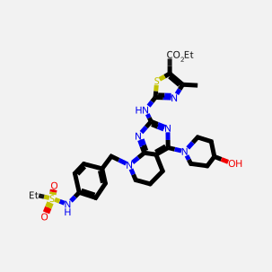 CCOC(=O)c1sc(Nc2nc(N3CCC(O)CC3)c3c(n2)N(Cc2ccc(NS(=O)(=O)CC)cc2)CCC3)nc1C